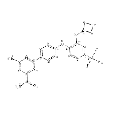 NC(=O)c1cc(N)nc(-c2ccc(Oc3ccc(C(F)(F)F)cc3CN3CCC3)cc2)n1